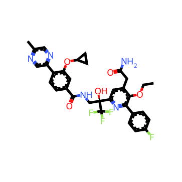 CCOc1c(CC(N)=O)cc([C@@](O)(CNC(=O)c2ccc(-c3cnc(C)cn3)c(OC3CC3)c2)C(F)(F)F)nc1-c1ccc(F)cc1